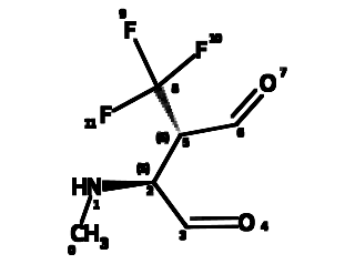 CN[C@H](C=O)[C@@H](C=O)C(F)(F)F